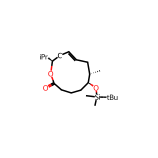 CC(C)[C@H]1C/C=C/C[C@H](C)[C@@H](O[Si](C)(C)C(C)(C)C)CCCC(=O)O1